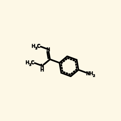 C/N=C(\NC)c1ccc(N)cc1